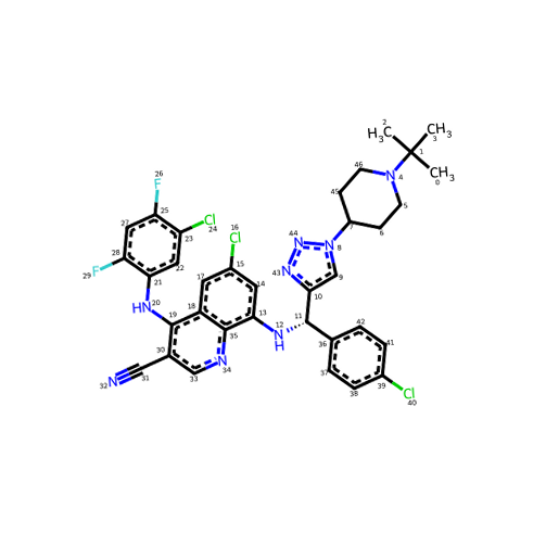 CC(C)(C)N1CCC(n2cc([C@@H](Nc3cc(Cl)cc4c(Nc5cc(Cl)c(F)cc5F)c(C#N)cnc34)c3ccc(Cl)cc3)nn2)CC1